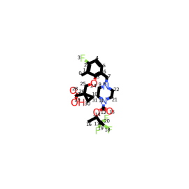 Cc1c(F)ccc(CN2CCN(C(=O)OC(C)C(F)(F)F)CC2)c1OCC1(C(=O)O)CC1